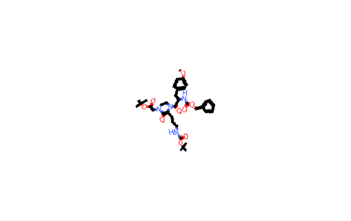 COc1ccc(CC(NC(=O)OCc2ccccc2)C(=O)N2CCN(CC(=O)OC(C)(C)C)C(=O)C2CCCNC(=O)OC(C)(C)C)cc1